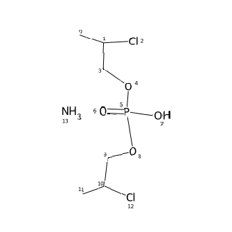 CC(Cl)COP(=O)(O)OCC(C)Cl.N